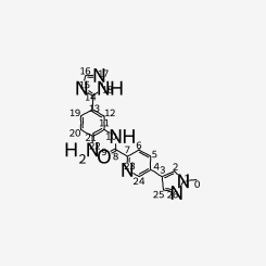 Cn1cc(-c2ccc(C(=O)Nc3cc(-c4ncn[nH]4)ccc3N)nc2)cn1